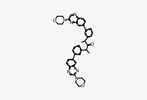 CC(C(=O)C(C)c1cccc(-c2ccc3ncc(N4CCOCC4)nc3c2)c1)c1cccc(-c2ccc3ncc(N4CCOCC4)nc3c2)c1